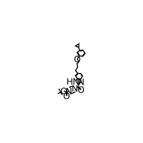 CC(C)(C)OC(=O)N1CCN(C(=O)c2nc3ccc(CCCCOc4cccc(C5CC5)c4)cc3[nH]2)CC1